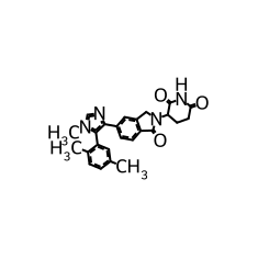 Cc1ccc(C)c(-c2c(-c3ccc4c(c3)CN(C3CCC(=O)NC3=O)C4=O)ncn2C)c1